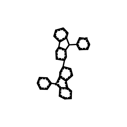 c1ccc(-n2c3ccccc3c3ccc(-c4ccc5c(c4)C(c4cccnc4)c4ccccc4-5)cc32)cc1